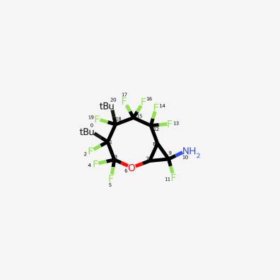 CC(C)(C)C1(F)C(F)(F)OC2C(C2(N)F)C(F)(F)C(F)(F)C1(F)C(C)(C)C